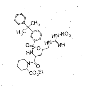 CCOC(=O)[C@H]1CCCCN1C(=O)[C@H](CCCNC(=N)N[N+](=O)[O-])NS(=O)(=O)c1cccc(C(C)(C)c2ccccc2)c1